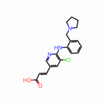 O=C(O)/C=C/c1cnc(Nc2ccccc2CN2CCCC2)c(Cl)c1